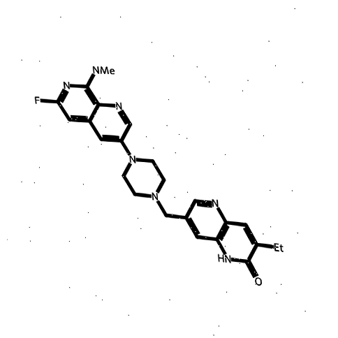 CCc1cc2ncc(CN3CCN(c4cnc5c(NC)nc(F)cc5c4)CC3)cc2[nH]c1=O